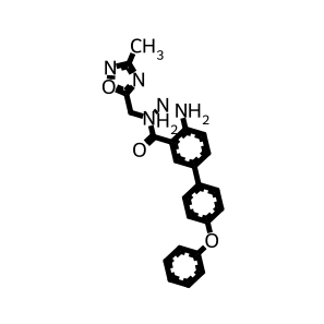 Cc1noc(CN(N)C(=O)c2cc(-c3ccc(Oc4ccccc4)cc3)ccc2N)n1